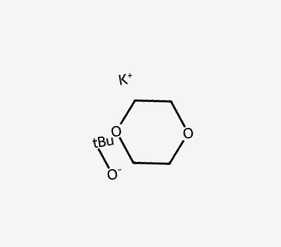 C1COCCO1.CC(C)(C)[O-].[K+]